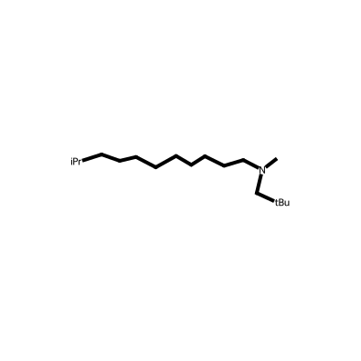 CC(C)CCCCCCCCCN(C)CC(C)(C)C